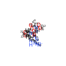 CCC(C)[C@H](NC(=O)OC(C)(C)C)C(=O)OC[C@@H]1[C@H]2OC(C)(C)O[C@H]2[C@H](c2c[nH]c3c(N=[N+]=[N-])ncnc23)N1C(=O)OC(C)(C)C